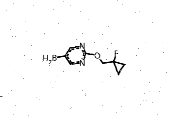 Bc1cnc(OCC2(F)CC2)nc1